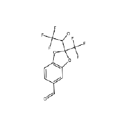 O=Cc1ccc2c(c1)OC(C(Cl)C(F)(F)F)(C(F)(F)F)O2